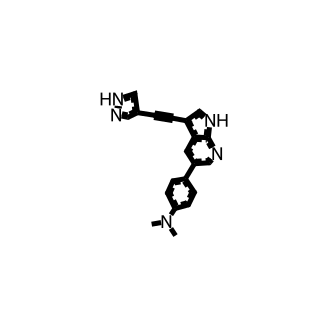 CN(C)c1ccc(-c2cnc3[nH]cc(C#Cc4cn[nH]c4)c3c2)cc1